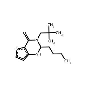 CCCCC1Nc2ccsc2C(=O)N1CC(C)(C)C